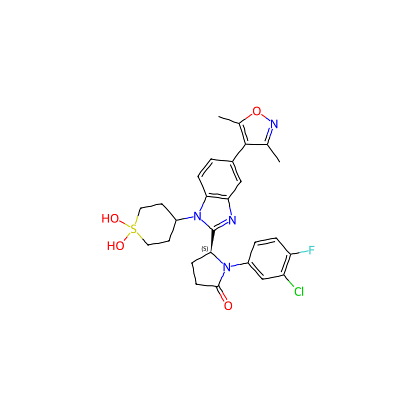 Cc1noc(C)c1-c1ccc2c(c1)nc([C@@H]1CCC(=O)N1c1ccc(F)c(Cl)c1)n2C1CCS(O)(O)CC1